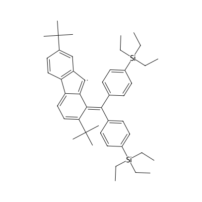 CC[Si](CC)(CC)c1ccc(C(c2ccc([Si](CC)(CC)CC)cc2)=c2c(C(C)(C)C)ccc3c2=[C]c2cc(C(C)(C)C)ccc2-3)cc1